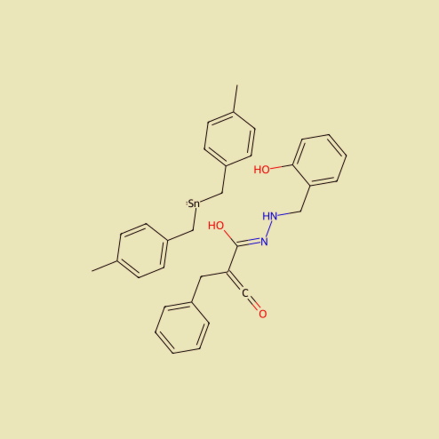 Cc1ccc([CH2][Sn][CH2]c2ccc(C)cc2)cc1.O=C=C(Cc1ccccc1)C(O)=NNCc1ccccc1O